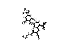 CCOC(=O)C(C#N)=Cc1cc(Oc2c(Cl)cc(C(F)(F)F)cc2Cl)ccc1[N+](=O)[O-]